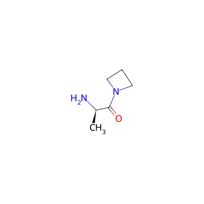 C[C@@H](N)C(=O)N1CCC1